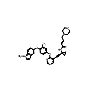 Cc1cc(Nc2ncncc2C#CC2(NC(=O)/C=C/CN3CCOCC3)CC2)ccc1Oc1ccc2c(c1)ncn2C